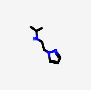 CC(C)NCCn1cccn1